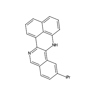 CC(C)c1ccc2cnc3c(c2c1)Nc1cccc2cccc-3c12